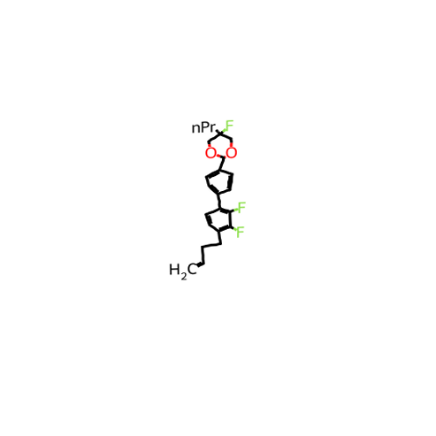 C=CCCc1ccc(-c2ccc(C3OCC(F)(CCC)CO3)cc2)c(F)c1F